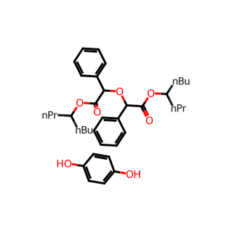 CCCCC(CCC)OC(=O)C(OC(C(=O)OC(CCC)CCCC)c1ccccc1)c1ccccc1.Oc1ccc(O)cc1